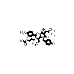 CCC(c1nc2onc(C(C)C)c2c(=O)n1Cc1ccc(Cl)cc1)N(CCCNC(=O)O)C(=O)c1ccc(C)cc1